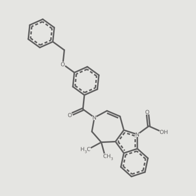 CC1(C)CN(C(=O)c2cccc(OCc3ccccc3)c2)C=Cc2c1c1ccccc1n2C(=O)O